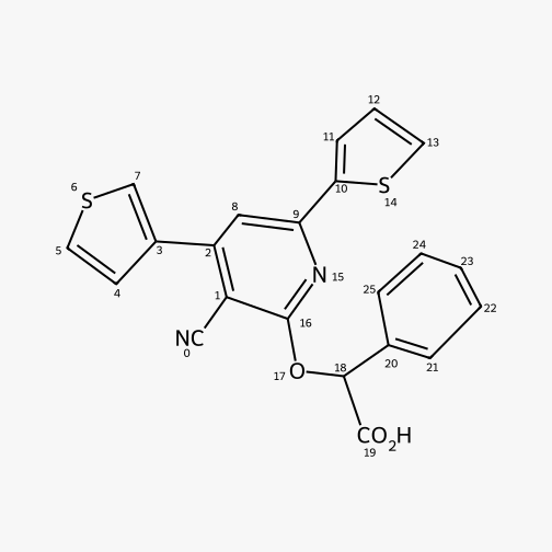 N#Cc1c(-c2ccsc2)cc(-c2cccs2)nc1OC(C(=O)O)c1ccccc1